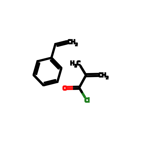 C=C(C)C(=O)Cl.C=Cc1ccccc1